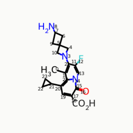 Cc1c(N2CC3(CC(N)C3)C2)c(F)cn2c(=O)c(C(=O)O)cc(C3CC3)c12